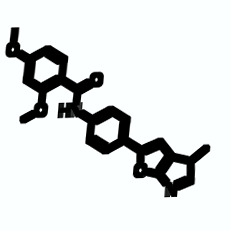 COc1ccc(C(=O)Nc2ccc(-c3cc4c(o3)N=CC4C)cc2)c(OC)c1